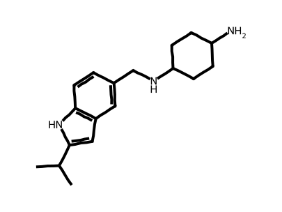 CC(C)c1cc2cc(CNC3CCC(N)CC3)ccc2[nH]1